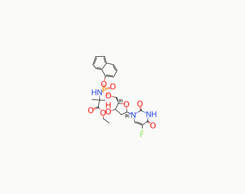 CCOC(=O)C(C)(C)NP(=O)(OC[C@H]1O[C@@H](n2cc(F)c(=O)[nH]c2=O)CC1O)Oc1cccc2ccccc12